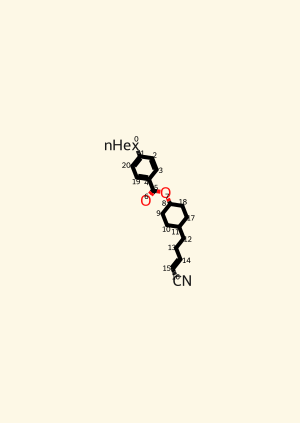 CCCCCCc1ccc(C(=O)OC2CCC(CCC=CC#N)CC2)cc1